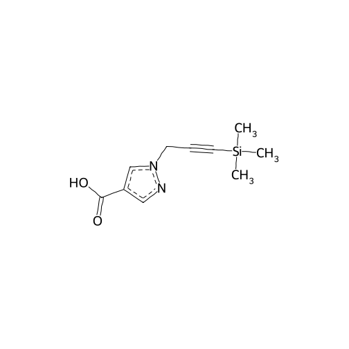 C[Si](C)(C)C#CCn1cc(C(=O)O)cn1